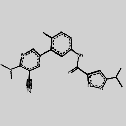 Cc1ccc(NC(=O)c2cc(C(C)C)on2)cc1-c1cnc(N(C)C)c(C#N)c1